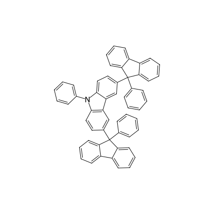 c1ccc(-n2c3ccc(C4(c5ccccc5)c5ccccc5-c5ccccc54)cc3c3cc(C4(c5ccccc5)c5ccccc5-c5ccccc54)ccc32)cc1